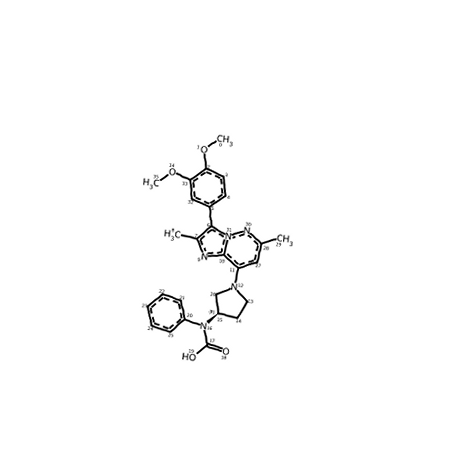 COc1ccc(-c2c(C)nc3c(N4CC[C@@H](N(C(=O)O)c5ccccc5)C4)cc(C)nn23)cc1OC